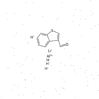 O=Cc1csc2ccccc12.[Al+3].[H-].[H-].[H-].[H-].[Li+]